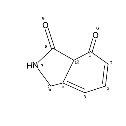 O=C1C=CC=C2[C]NC(=O)C12